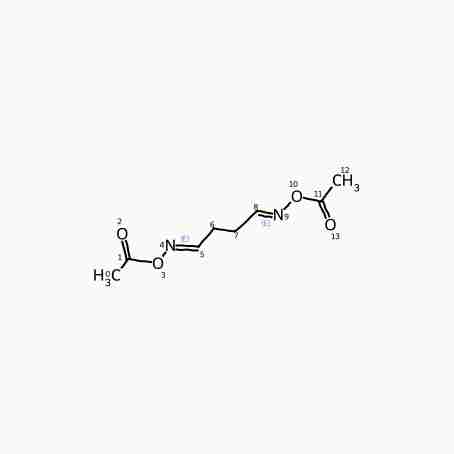 CC(=O)O/N=C/CC/C=N/OC(C)=O